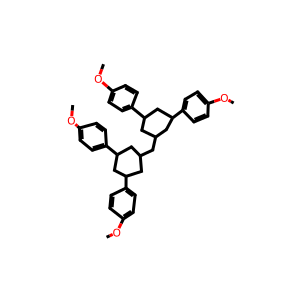 COc1ccc(C2CC(CC3CC(c4ccc(OC)cc4)CC(c4ccc(OC)cc4)C3)CC(c3ccc(OC)cc3)C2)cc1